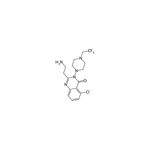 NCCc1nc2cccc(Cl)c2c(=O)n1N1CCN(CC(F)(F)F)CC1